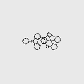 c1ccc(-n2c3ccccc3c3c(Nc4cccc5c4C4(c6ccccc6Oc6ccccc64)c4ccccc4-5)cccc32)cc1